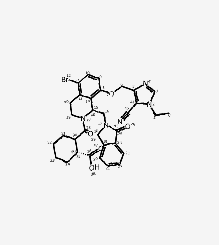 CCn1cnc(COc2ccc(Br)c3c2[C@@H](CN2Cc4ccccc4C2=O)N(C(=O)C2CCCC[C@H]2C(=O)O)CC3)c1C#N